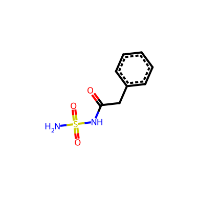 NS(=O)(=O)NC(=O)Cc1ccccc1